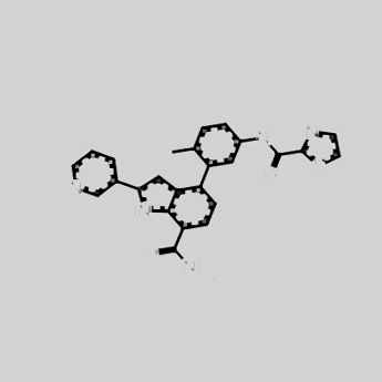 Cc1ccc(NC(=O)c2nccs2)cc1-c1ccc(C(N)=O)c2[nH]c(-c3cccnc3)cc12